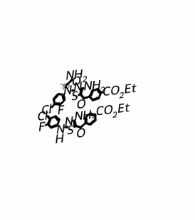 CCOC(=O)c1ccc(C(=O)c2sc(N(c3ccc(Cl)c(F)c3)[C@H](C)C(N)=O)nc2N)cc1.CCOC(=O)c1ccc(C(=O)c2sc(Nc3ccc(Cl)c(F)c3)nc2N)cc1